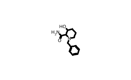 NC(=O)C1C(O)[CH]CCN1Cc1ccccc1